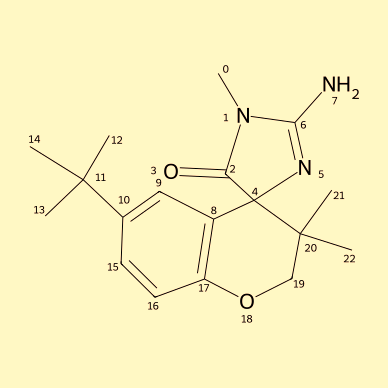 CN1C(=O)C2(N=C1N)c1cc(C(C)(C)C)ccc1OCC2(C)C